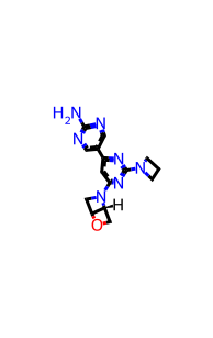 Nc1ncc(-c2cc(N3CC4OC[C@H]43)nc(N3CCC3)n2)cn1